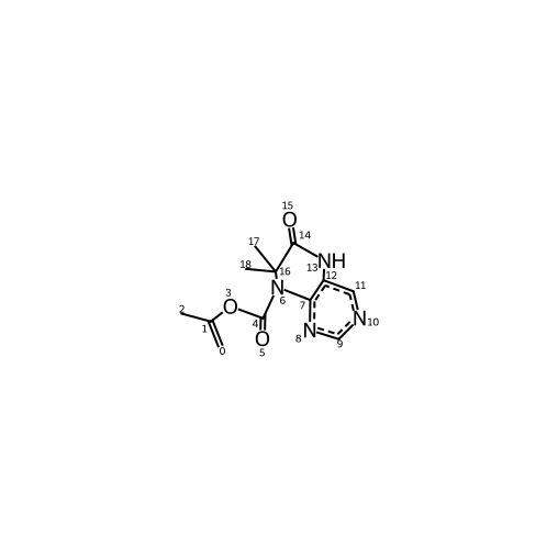 C=C(C)OC(=O)N1c2ncncc2NC(=O)C1(C)C